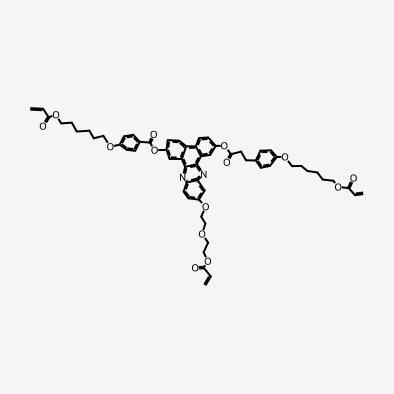 C=CC(=O)OCCCCCCOc1ccc(CCC(=O)Oc2ccc3c4ccc(OC(=O)c5ccc(OCCCCCCOC(=O)C=C)cc5)cc4c4nc5ccc(OCCOCCOC(=O)C=C)cc5nc4c3c2)cc1